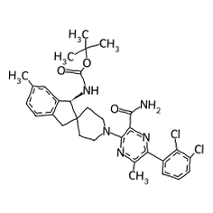 Cc1ccc2c(c1)[C@@H](NC(=O)OC(C)(C)C)C1(CCN(c3nc(C)c(-c4cccc(Cl)c4Cl)nc3C(N)=O)CC1)C2